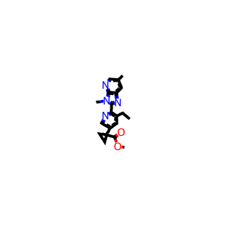 CCc1cc(C2(C(=O)OC)CC2)cnc1-c1nc2cc(C)cnc2n1C